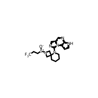 [O-][S+](CCC(F)(F)F)N1CC2(CCCCN2c2ncc3cnc4[nH]ccc4n23)C1